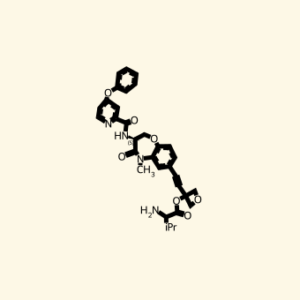 CC(C)C(N)C(=O)OC1(C#Cc2ccc3c(c2)N(C)C(=O)[C@@H](NC(=O)c2cc(Oc4ccccc4)ccn2)CO3)COC1